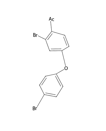 CC(=O)c1ccc(Oc2ccc(Br)cc2)cc1Br